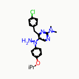 CC(C)Oc1ccc(N(N)c2cnc(N(C)C)nc2Cc2ccc(Cl)cc2)cc1